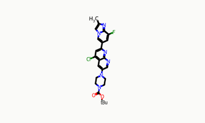 Cc1cn2cc(-c3cc(Cl)c4cc(N5CCN(C(=O)OC(C)(C)C)CC5)cnc4n3)cc(F)c2n1